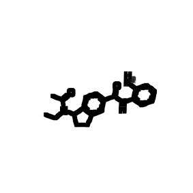 CCN(C(C)=O)C1CCc2cc(C(=O)Nc3ccccc3N)ccc21